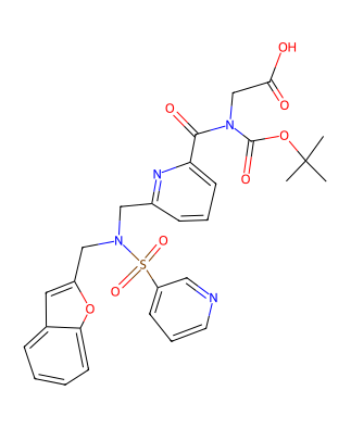 CC(C)(C)OC(=O)N(CC(=O)O)C(=O)c1cccc(CN(Cc2cc3ccccc3o2)S(=O)(=O)c2cccnc2)n1